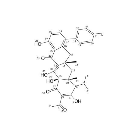 CC(=O)C1=C(O)C(C(C)C)[C@@]2(C)C[C@@]3(C)Cc4c(-c5ccc(C)cc5)ccc(O)c4C(=O)C3=C(O)[C@@]2(O)C1=O